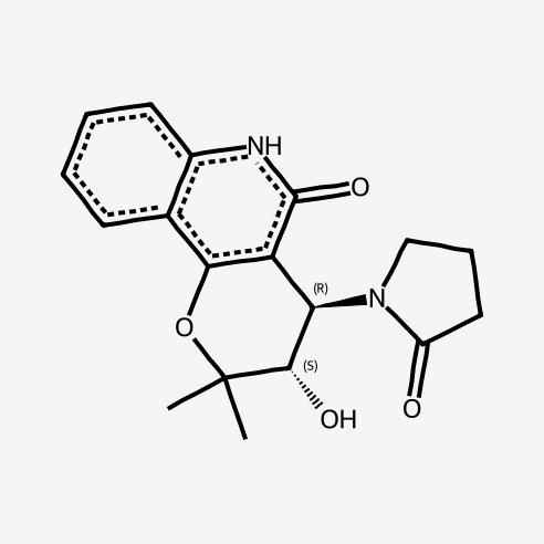 CC1(C)Oc2c(c(=O)[nH]c3ccccc23)[C@@H](N2CCCC2=O)[C@@H]1O